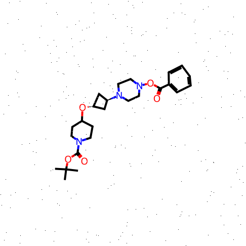 CC(C)(C)OC(=O)N1CCC(O[C@H]2C[C@H](N3CCN(OC(=O)c4ccccc4)CC3)C2)CC1